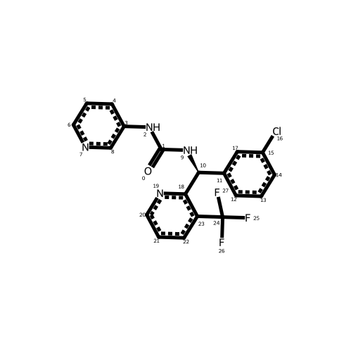 O=C(Nc1cccnc1)N[C@@H](c1cccc(Cl)c1)c1ncccc1C(F)(F)F